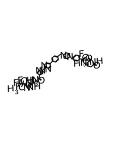 CC(C)(c1n[nH]c(CNC(=O)c2cnn(-c3ncc(-c4ccc(CN5CCN(c6ccc(C(=O)N[C@H]7CCC(=O)NC7=O)c(F)c6)CC5)cc4)cn3)c2)n1)C(F)(F)F